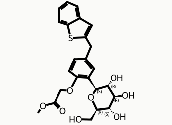 COC(=O)COc1ccc(Cc2cc3ccccc3s2)cc1[C@@H]1O[C@H](CO)[C@@H](O)[C@H](O)[C@H]1O